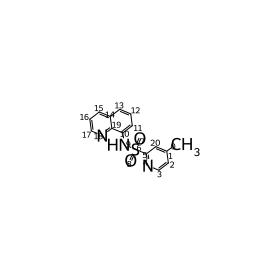 Cc1ccnc(S(=O)(=O)Nc2cccc3cccnc23)c1